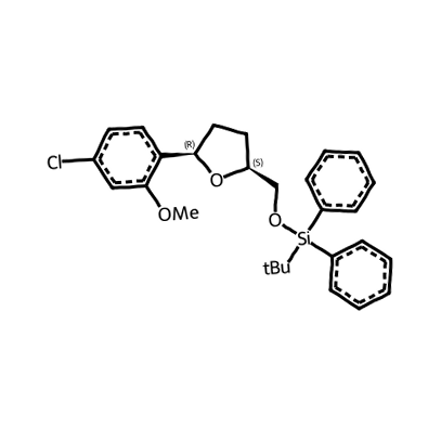 COc1cc(Cl)ccc1[C@H]1CC[C@@H](CO[Si](c2ccccc2)(c2ccccc2)C(C)(C)C)O1